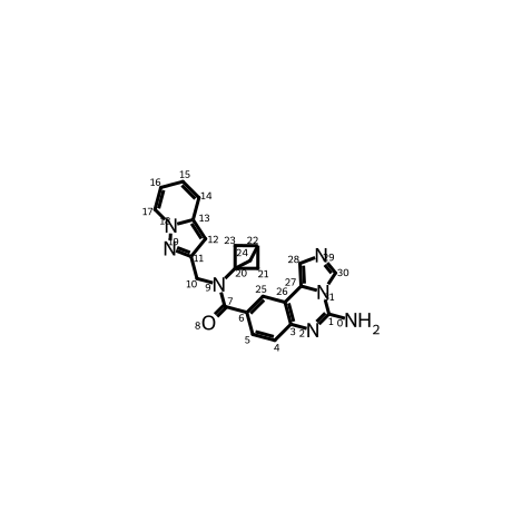 Nc1nc2ccc(C(=O)N(Cc3cc4ccccn4n3)C34CC(C3)C4)cc2c2cncn12